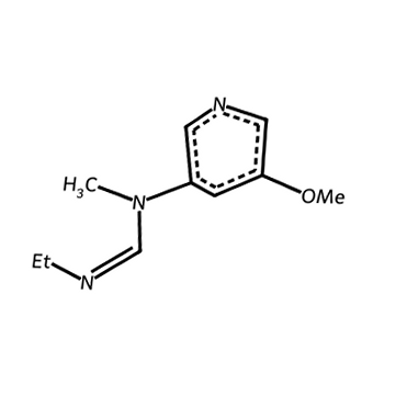 CC/N=C\N(C)c1cncc(OC)c1